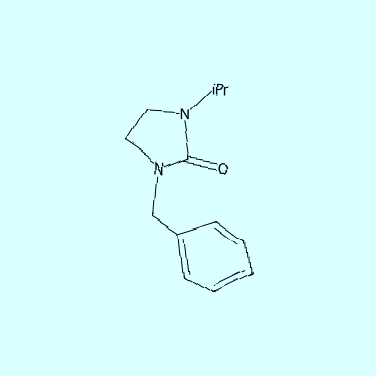 CC(C)N1CCN(Cc2ccccc2)C1=O